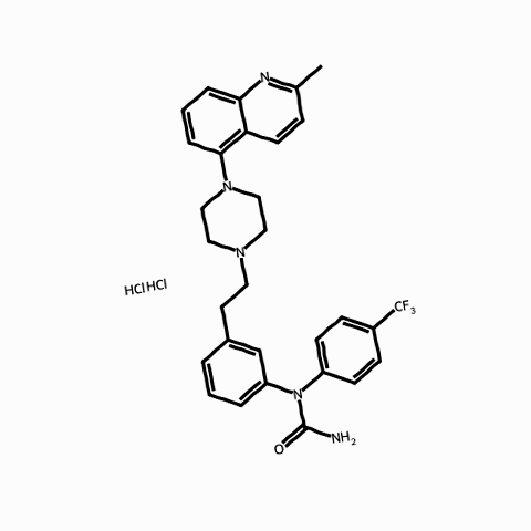 Cc1ccc2c(N3CCN(CCc4cccc(N(C(N)=O)c5ccc(C(F)(F)F)cc5)c4)CC3)cccc2n1.Cl.Cl